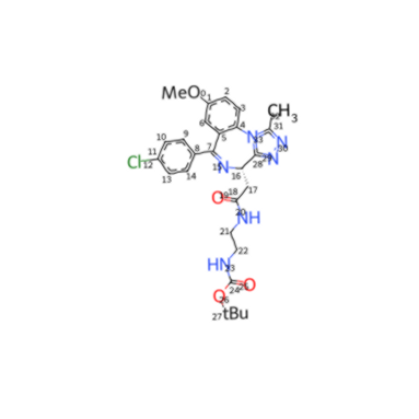 COc1ccc2c(c1)C(c1ccc(Cl)cc1)=N[C@@H](CC(=O)NCCNC(=O)OC(C)(C)C)c1nnc(C)n1-2